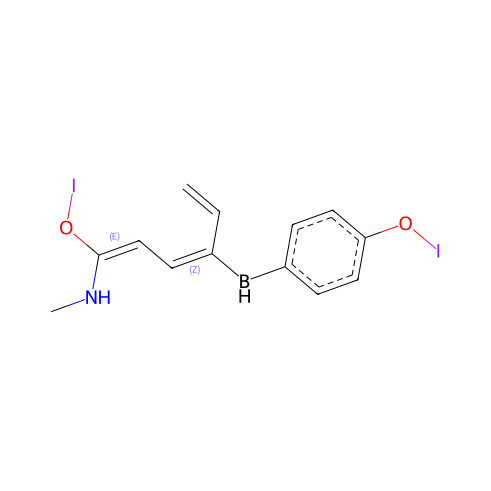 C=C/C(Bc1ccc(OI)cc1)=C\C=C(/NC)OI